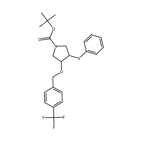 CC(C)(C)OC(=O)N1CC(OCc2ccc(C(F)(F)F)cc2)C(Sc2ccccc2)C1